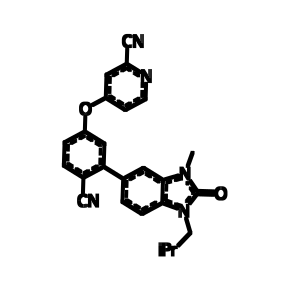 CC(C)Cn1c(=O)n(C)c2cc(-c3cc(Oc4ccnc(C#N)c4)ccc3C#N)ccc21